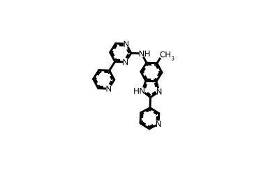 Cc1cc2nc(-c3cccnc3)[nH]c2cc1Nc1nccc(-c2cccnc2)n1